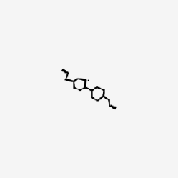 C=CCC1C[CH]C(C2CCC(CC=C)CC2)CC1